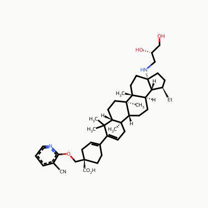 CC[C@@H]1CC[C@]2(NC[C@H](O)CO)CC[C@]3(C)[C@H](CC[C@@H]4[C@@]5(C)CC=C(C6=CC[C@](COc7ncccc7C#N)(C(=O)O)CC6)C(C)(C)[C@@H]5CC[C@]43C)[C@@H]12